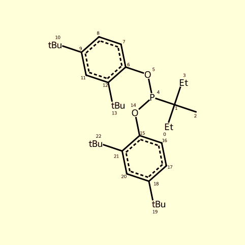 CCC(C)(CC)P(Oc1ccc(C(C)(C)C)cc1C(C)(C)C)Oc1ccc(C(C)(C)C)cc1C(C)(C)C